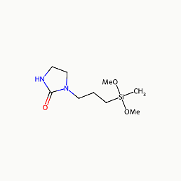 CO[Si](C)(CCCN1CCNC1=O)OC